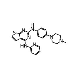 CN1CCN(c2ccc(Nc3nc(Nc4ccccn4)c4ccsc4n3)cc2)CC1